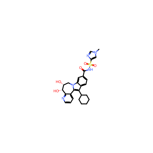 Cn1cnc(S(=O)(=O)NC(=O)c2ccc3c(C4CCCCC4)c4n(c3c2)C[C@@H](O)[C@@H](O)c2ncccc2-4)c1